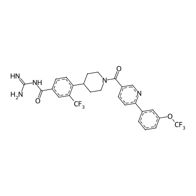 N=C(N)NC(=O)c1ccc(C2CCN(C(=O)c3ccc(-c4cccc(OC(F)(F)F)c4)nc3)CC2)c(C(F)(F)F)c1